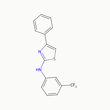 FC(F)(F)c1cccc(Nc2nc(-c3ccccc3)cs2)c1